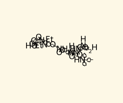 CCc1c2c(nc3ccc(OCCCNC(=O)OCc4ccc(NC(=O)C(CCCCNC(c5ccccc5)(c5ccccc5)c5ccc(C)cc5)NC(=O)C(Cc5c[nH]c6ccccc56)NC(=O)O)cc4)cc13)-c1cc3c(c(=O)n1C2)COC(=O)[C@]3(O)CC